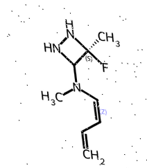 C=C/C=C\N(C)C1NN[C@@]1(C)F